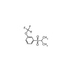 CC(C)S(=O)(=O)c1c[c]cc(OC(F)(F)F)c1